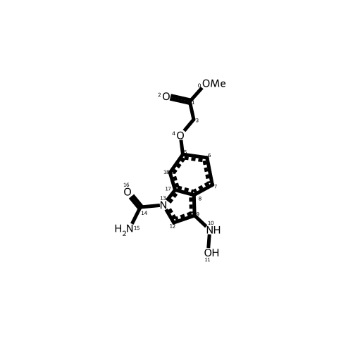 COC(=O)COc1ccc2c(NO)cn(C(N)=O)c2c1